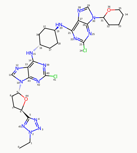 CCn1nnc([C@H]2[CH][CH][C@H](n3cnc4c(N[C@H]5CC[C@H](Nc6nc(Cl)nc7c6ncn7C6CCCCO6)CC5)nc(Cl)nc43)O2)n1